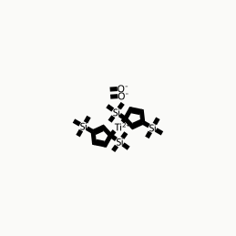 C[O-].C[O-].C[Si](C)(C)C1=C[C]([Ti+2][C]2([Si](C)(C)C)C=CC([Si](C)(C)C)=C2)([Si](C)(C)C)C=C1